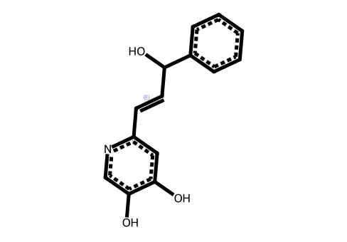 Oc1cnc(/C=C/C(O)c2ccccc2)cc1O